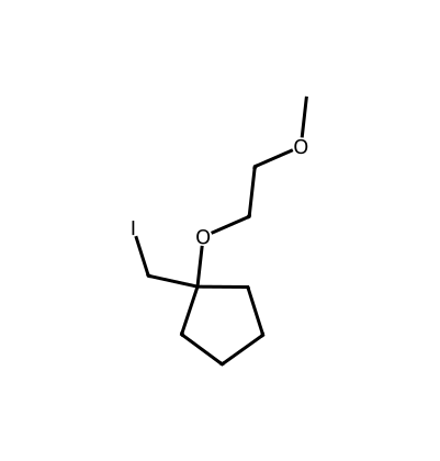 COCCOC1(CI)CCCC1